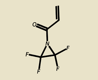 C=CC(=O)N1C(F)(F)C1(F)F